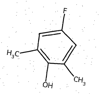 Cc1cc(F)cc(C)c1O